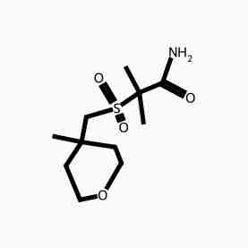 CC1(CS(=O)(=O)C(C)(C)C(N)=O)CCOCC1